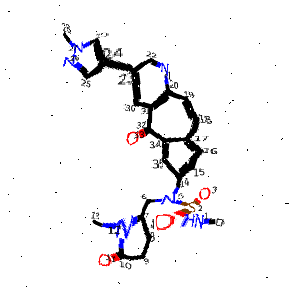 CNS(=O)(=O)N(CC1CCC(=O)N1C)c1ccc2ccc3ncc(-c4cnn(C)c4)cc3c(=O)c2c1